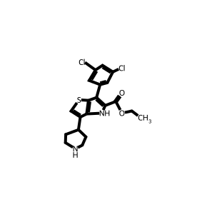 CCOC(=O)c1[nH]c2c(C3CCNCC3)csc2c1-c1cc(Cl)cc(Cl)c1